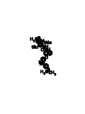 COc1c(NC(=O)N[C@H]2CC[C@@H](Oc3ccc4nnc(N5CCC(CN(C)C)CC5)n4c3)c3ccccc32)cc(C(C)(C)C)cc1NS(C)(=O)=O